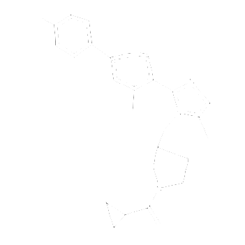 Cc1cc(-c2ccc(F)cc2)ccc1-c1ncc(C)n1CC1CCN(C(=O)C2CC2)C1